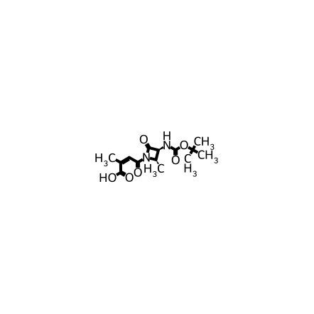 CC(=CC(=O)N1C(=O)[C@@H](NC(=O)OC(C)(C)C)[C@@H]1C)C(=O)O